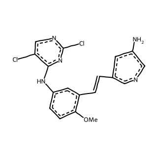 COc1ccc(Nc2nc(Cl)ncc2Cl)cc1C=Cc1cncc(N)c1